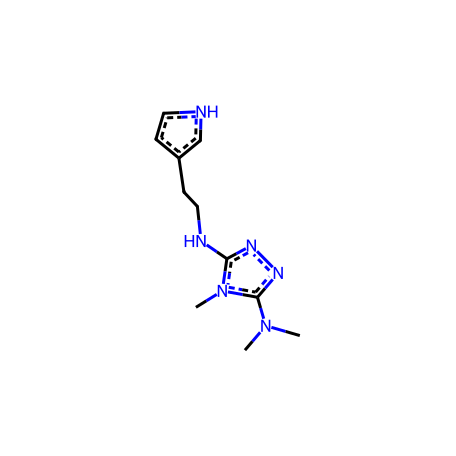 CN(C)c1nnc(NCCc2cc[nH]c2)n1C